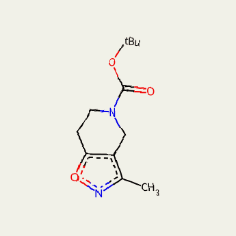 Cc1noc2c1CN(C(=O)OC(C)(C)C)CC2